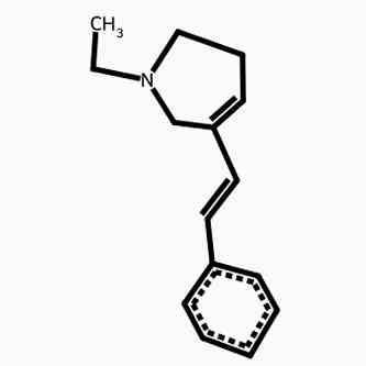 CCN1CCC=C(/C=C/c2ccccc2)C1